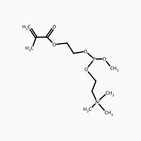 C=C(C)C(=O)OCCOP(OC)OCC[N+](C)(C)C